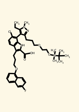 CCc1c(-c2c(Cl)ccc3c(CCCOc4cccc5cc(F)ccc45)c(C(=O)O)[nH]c23)c(CCCOCCO[Si](C)(C)C(C)(C)C)nn1C